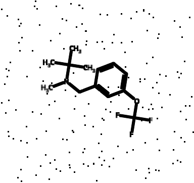 CN(Cc1cccc(OC(F)(F)F)c1)C(C)(C)C